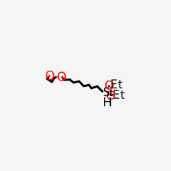 CCO[SiH](CCCCCCCCCOC1CCO1)OCC